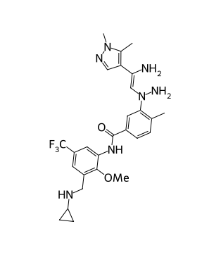 COc1c(CNC2CC2)cc(C(F)(F)F)cc1NC(=O)c1ccc(C)c(N(N)/C=C(\N)c2cnn(C)c2C)c1